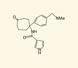 CNCc1ccc(C2(NC(=O)c3cc[nH]c3)CCCC(=O)CC2)cc1